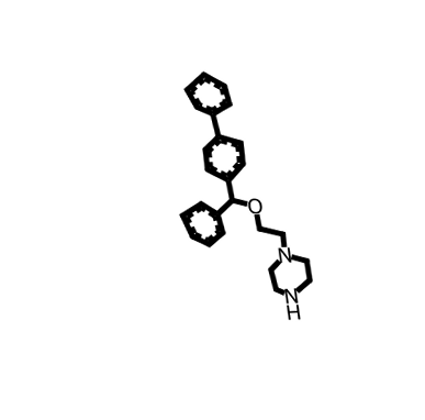 c1ccc(-c2ccc(C(OCCN3CCNCC3)c3ccccc3)cc2)cc1